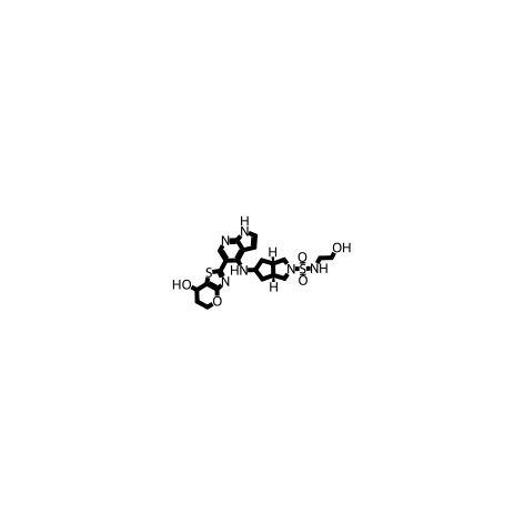 O=S(=O)(NCCO)N1C[C@H]2CC(Nc3c(-c4nc5c(s4)C(O)CCO5)cnc4[nH]ccc34)C[C@H]2C1